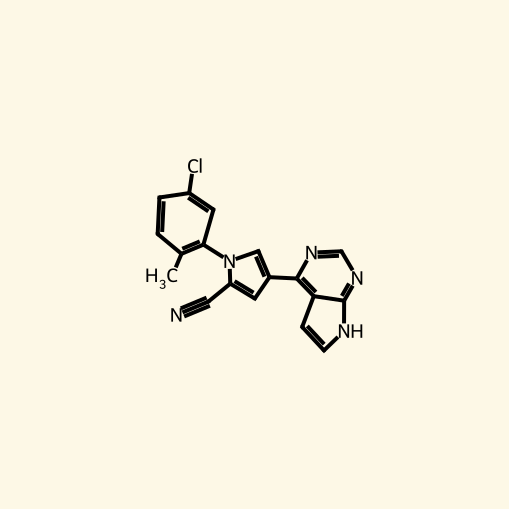 Cc1ccc(Cl)cc1-n1cc(-c2ncnc3[nH]ccc23)cc1C#N